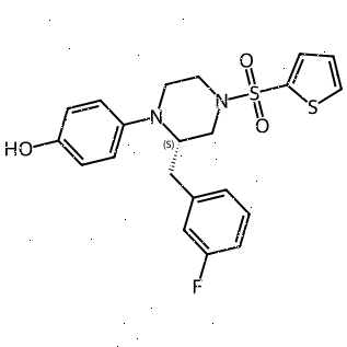 O=S(=O)(c1cccs1)N1CCN(c2ccc(O)cc2)[C@@H](Cc2cccc(F)c2)C1